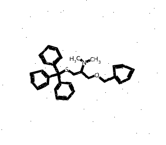 CN(C)C(COCc1ccccc1)CSC(c1ccccc1)(c1ccccc1)c1ccccc1